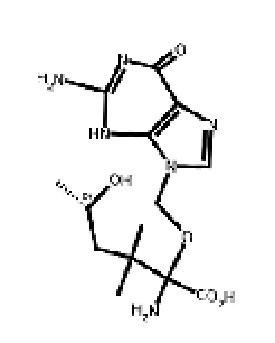 C[C@H](O)CC(C)(C)C(N)(OCn1cnc2c(=O)nc(N)[nH]c21)C(=O)O